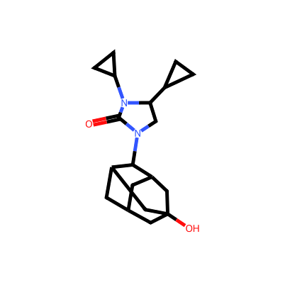 O=C1N(C2C3CC4CC2CC(O)(C4)C3)CC(C2CC2)N1C1CC1